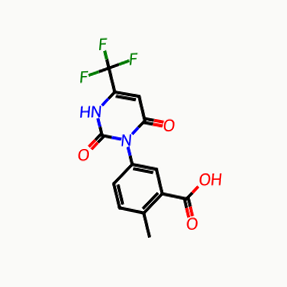 Cc1ccc(-n2c(=O)cc(C(F)(F)F)[nH]c2=O)cc1C(=O)O